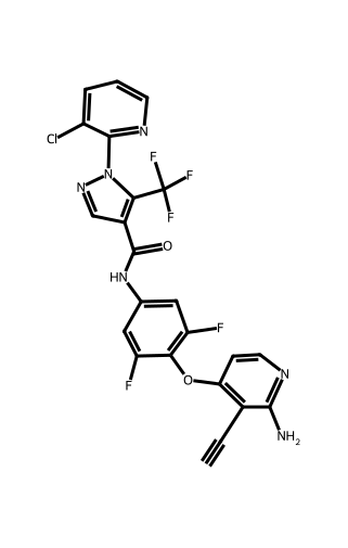 C#Cc1c(Oc2c(F)cc(NC(=O)c3cnn(-c4ncccc4Cl)c3C(F)(F)F)cc2F)ccnc1N